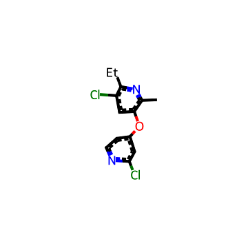 CCc1nc(C)c(Oc2ccnc(Cl)c2)cc1Cl